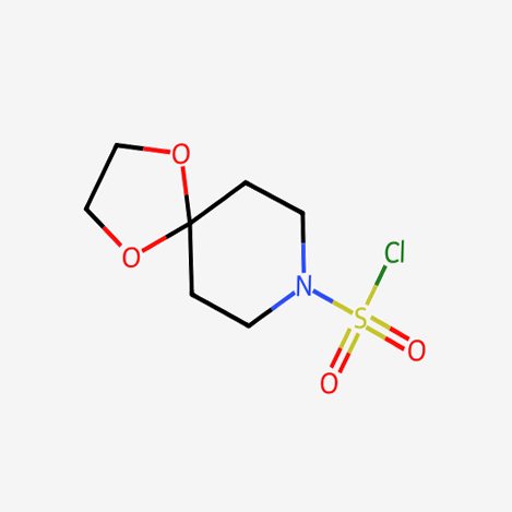 O=S(=O)(Cl)N1CCC2(CC1)OCCO2